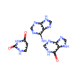 Nc1ncnc2[nH]cnc12.O=c1[nH]cnc2nc[nH]c12.O=c1cc[nH]c(=O)[nH]1